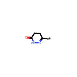 CCCC1=NNC(=O)CC1